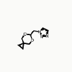 c1cn(CC2OCC3(CC3)CO2)nn1